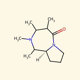 CC1C(=O)N2CCC[C@H]2C(C)N(C)C1C